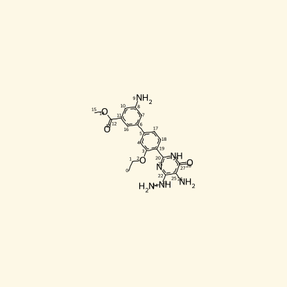 CCOc1cc(-c2cc(N)cc(C(=O)OC)c2)ccc1-c1nc(NN)c(N)c(=O)[nH]1